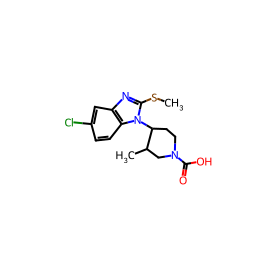 CSc1nc2cc(Cl)ccc2n1C1CCN(C(=O)O)CC1C